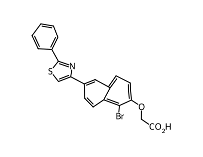 O=C(O)COc1ccc2cc(-c3csc(-c4ccccc4)n3)ccc2c1Br